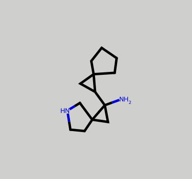 NC1(C2CC23CCCC3)CC12CCNC2